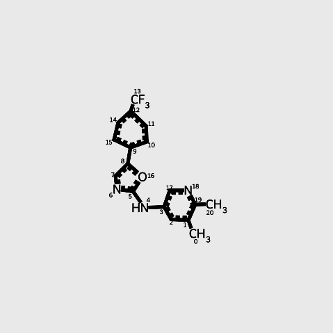 Cc1cc(Nc2ncc(-c3ccc(C(F)(F)F)cc3)o2)cnc1C